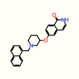 O=c1[nH]ccc2cc(OC3CCCN(Cc4cccc5ccccc45)C3)ccc12